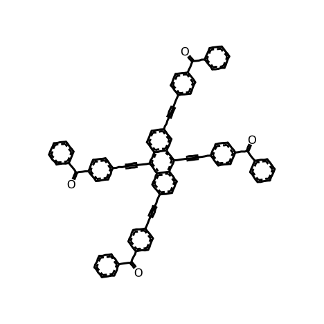 O=C(c1ccccc1)c1ccc(C#Cc2ccc3c(C#Cc4ccc(C(=O)c5ccccc5)cc4)c4cc(C#Cc5ccc(C(=O)c6ccccc6)cc5)ccc4c(C#Cc4ccc(C(=O)c5ccccc5)cc4)c3c2)cc1